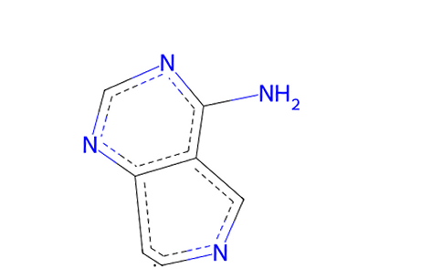 Nc1ncnc2c[c]ncc12